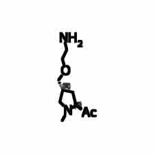 CC(=O)[C@@H]1C[C@@H](COCCN)CN1C